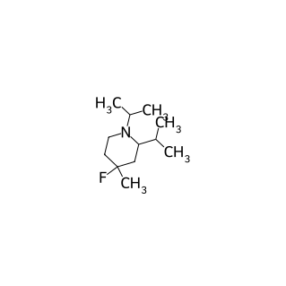 CC(C)C1CC(C)(F)CCN1C(C)C